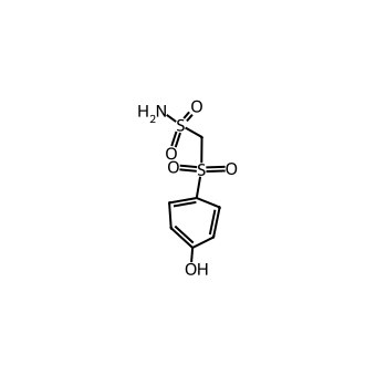 NS(=O)(=O)CS(=O)(=O)c1ccc(O)cc1